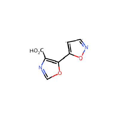 O=C(O)c1ncoc1-c1[c][c]no1